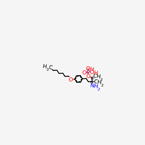 CCCCCCCOc1ccc(CC[C@@](C)(N)[C@H](C)OP(=O)(O)O)cc1